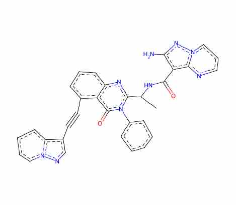 CC(NC(=O)c1c(N)nn2cccnc12)c1nc2cccc(C#Cc3cnn4ccccc34)c2c(=O)n1-c1ccccc1